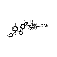 COCCN(C)S(=O)(=O)NC(=O)c1cnc2ccc(N3CCC[C@@H]3c3cc(F)ccc3O[C@@H]3CCOC3)cn12